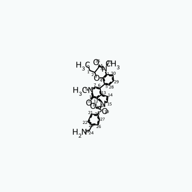 CCC1Oc2c(-c3cn(C)c(=O)c4c3ccn4S(=O)(=O)c3ccc(CN)cc3)cccc2N(C)C1=O